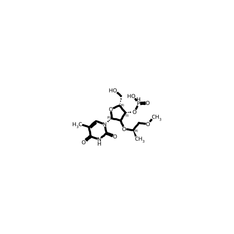 COC[C@@H](C)OC1[C@@H](O[PH](=O)O)[C@@H](CO)O[C@H]1n1cc(C)c(=O)[nH]c1=O